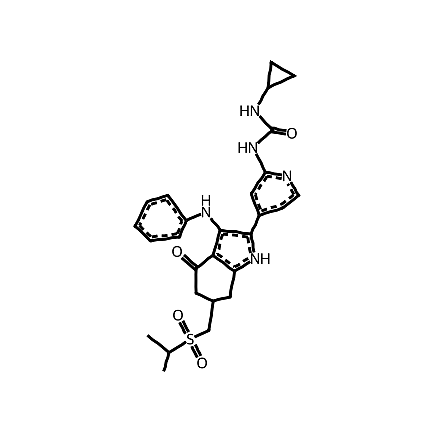 CC(C)S(=O)(=O)CC1CC(=O)c2c([nH]c(-c3ccnc(NC(=O)NC4CC4)c3)c2Nc2ccccc2)C1